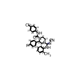 Cc1ccccc1N/C(=N/C#N)N1CCN(C(=O)Nc2ccc(Cl)cc2)C(c2ccc(F)cc2)C1